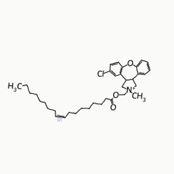 CCCCCCCC/C=C\CCCCCCCC(=O)OC[N+]1(C)CC2c3ccccc3Oc3ccc(Cl)cc3C2C1